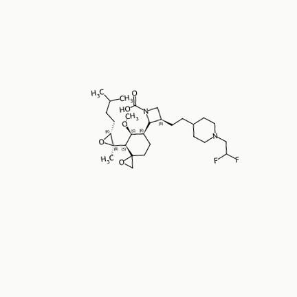 CO[C@H]1[C@@H](C2[C@H](CCC3CCN(CC(F)F)CC3)CN2C(=O)O)CCC2(CO2)[C@H]1[C@@]1(C)O[C@@H]1CCC(C)C